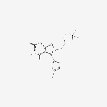 Cc1csc(-c2c3c(=O)n(C)c(=O)n(C)c3cn2CC2COC(C)(C)O2)n1